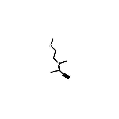 C#CC(C)N(C)CCOC